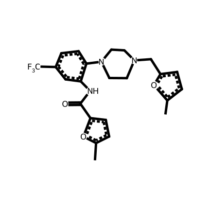 Cc1ccc(CN2CCN(c3ccc(C(F)(F)F)cc3NC(=O)c3ccc(C)o3)CC2)o1